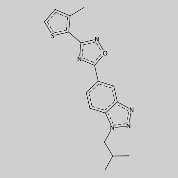 Cc1ccsc1-c1noc(-c2ccc3c(c2)nnn3CC(C)C)n1